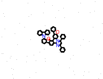 c1ccc(-c2cc(-c3ccccc3)nc(-c3ccc4c(oc5c(-n6c7ccccc7c7ccccc76)cccc54)c3-c3ccc4oc5ccccc5c4c3)n2)cc1